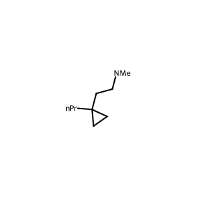 CCCC1(CCNC)CC1